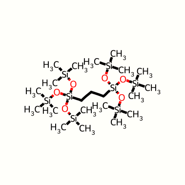 C[Si](C)(C)O[Si](CCC[Si](O[Si](C)(C)C)(O[Si](C)(C)C)O[Si](C)(C)C)(O[Si](C)(C)C)O[Si](C)(C)C